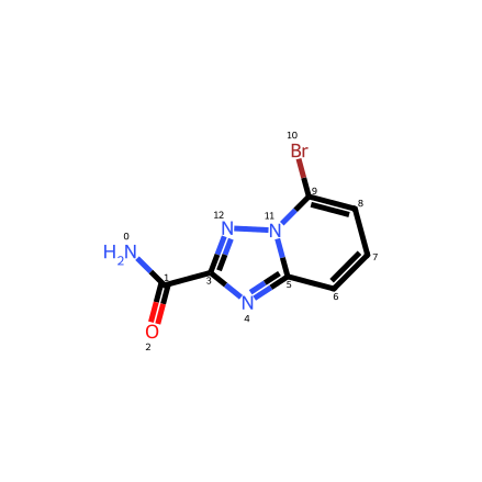 NC(=O)c1nc2cccc(Br)n2n1